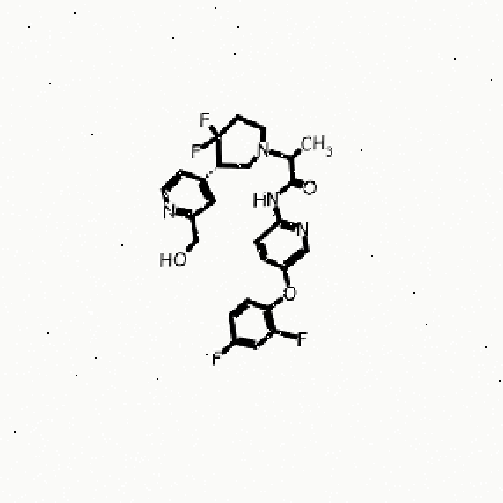 CC(C(=O)Nc1ccc(Oc2ccc(F)cc2F)cn1)N1CCC(F)(F)[C@@H](c2ccnc(CO)c2)C1